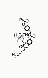 C=CCCC(Cc1ccc(C(=O)OCc2ccc(OC(=O)C(C)C)cc2)cc1)C(=O)OCC[Si](C)(C)C